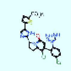 N=CN(N=N)c1ccc(Cl)cc1-c1cc(=O)n2c(c1Cl)CC[C@H]2c1ncc(-c2ccc(C(=O)O)s2)[nH]1